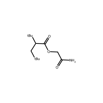 CC(C)(C)CC(C(=O)OCC(N)=O)C(C)(C)C